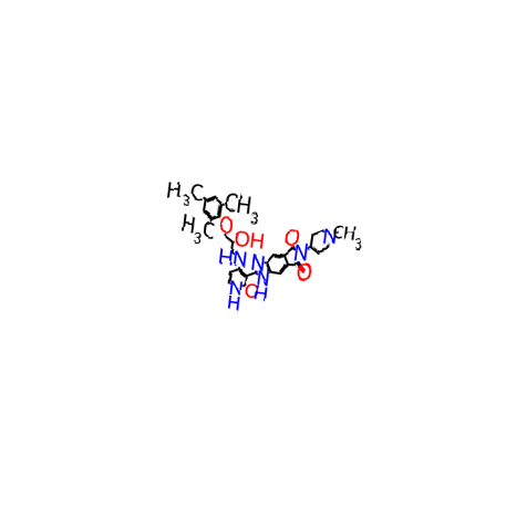 Cc1cc(C)c(OC[C@H](O)CNc2cc[nH]c(=O)c2-c2nc3cc4c(cc3[nH]2)C(=O)N(C2CCN(C)CC2)C4=O)c(C)c1